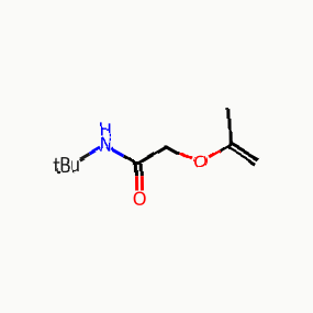 C=C(C)OCC(=O)NC(C)(C)C